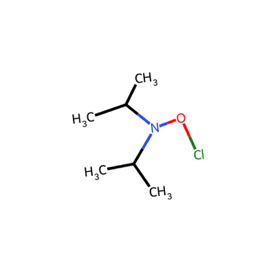 CC(C)N(OCl)C(C)C